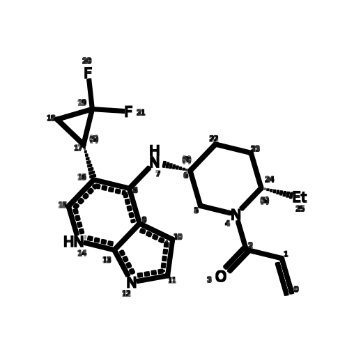 C=CC(=O)N1C[C@H](Nc2c3ccnc-3[nH]cc2[C@@H]2CC2(F)F)CC[C@@H]1CC